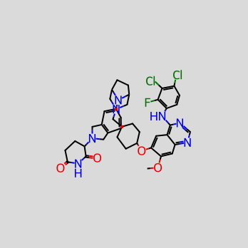 COc1cc2ncnc(Nc3ccc(Cl)c(Cl)c3F)c2cc1OC1CCC(CN2CC3CCC(C2)N3c2ccc3c(c2)CN(C2CCC(=O)NC2=O)C3)CC1